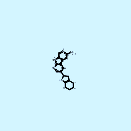 Nc1cc2c(cn1)[nH]c1ncc(C3CC4=C(CCCC4)S3)cc12